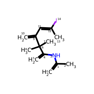 C=C(C)NC(=C)C(C)(C)C(=C)/C=C(\C)I